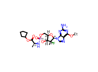 CCOc1nc(N)nc2c1ncn2[C@@H]1O[C@@H]2CO[P@@](=O)(N[C@@H](C)C(=O)OC3CCCC3)O[C@H]2[C@@]1(C)F